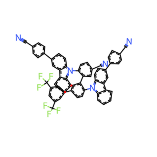 N#Cc1ccc(-c2ccc3c(c2)c2ccccc2n3-c2ccc(C#N)cc2-c2cc(-c3cc(C(F)(F)F)cc(C(F)(F)F)c3)ccc2-n2c3ccccc3c3cc(-c4ccc(C#N)cc4)ccc32)cc1